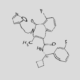 Cc1c(C(=O)N[C@H](c2cccc(F)c2)C2CCC2)c2cccc(F)c2c(=O)n1Cc1ccno1